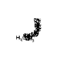 CC(C)(C)OC(=O)N1CCC(c2nc(-c3ccc4cn(C5CCCOC5)nc4c3)no2)CC1